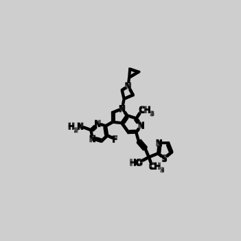 Cc1nc(C#CC(C)(O)c2nccs2)cc2c(-c3nc(N)ncc3F)cn(C3CN(C4CC4)C3)c12